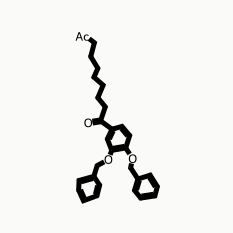 CC(=O)CCCCCCCC(=O)c1ccc(OCc2ccccc2)c(OCc2ccccc2)c1